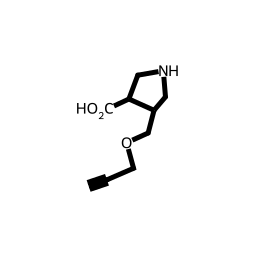 C#CCOCC1CNCC1C(=O)O